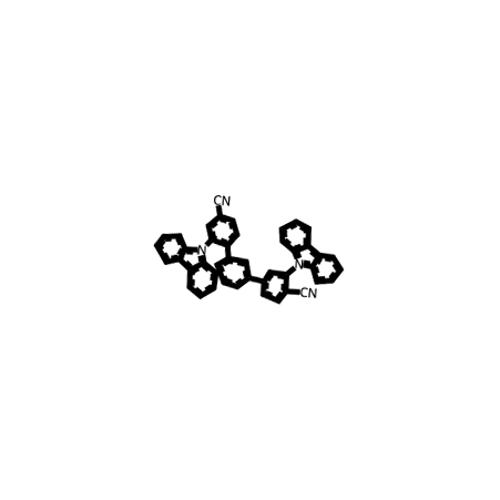 N#Cc1ccc(-c2cccc(-c3ccc(C#N)c(-n4c5ccccc5c5ccccc54)c3)c2)c(-n2c3ccccc3c3ccccc32)c1